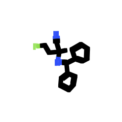 CC(C#N)(CCF)N=C(c1ccccc1)c1ccccc1